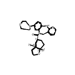 O=C([C@H]1CC[C@@H]2OCC[C@@H]2C1)N1Cc2cccnc2Nc2ccc(N3CCOCC3)cc21